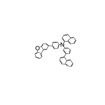 c1cc(-c2cccc3ccccc23)cc(N(c2ccc(-c3ccc4oc5ccccc5c4c3)cc2)c2cccc3ccccc23)c1